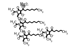 C/C=C1\C(=O)C(C(=O)CCCCC)=C([O-])N1C(C)=O.C/C=C1\C(=O)C(C(=O)CCCCCCC)=C([O-])N1C(C)=O.C/C=C1\C([O-])=C(C(=O)CCCCC)C(=O)N1C(C)=O.C/C=C1\C([O-])=C(C(=O)CCCCCCC)C(=O)N1C(C)=O.[Mg+2].[Mg+2]